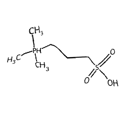 C[PH](C)(C)CCCS(=O)(=O)O